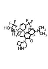 CCc1c(N2CCNC3CCC32)c(=O)c2nc(N(C)C)cnc2n1C1(Cl)C=C(C(F)(F)F)C=CC1N.O=C(O)C(F)(F)F